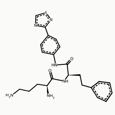 NCCC[C@H](N)C(=O)N[C@H](CCc1ccccc1)C(=O)Nc1ccc(-c2ncsn2)cc1